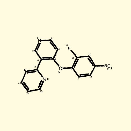 O=[N+]([O-])c1ccc(Oc2ccncc2-c2ccccn2)c(F)c1